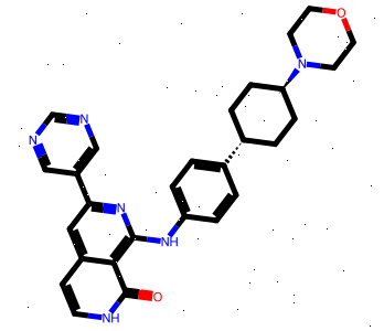 O=c1[nH]ccc2cc(-c3cncnc3)nc(Nc3ccc([C@H]4CC[C@H](N5CCOCC5)CC4)cc3)c12